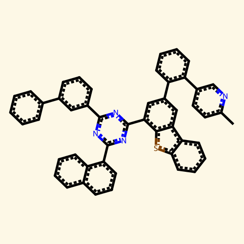 Cc1ccc(-c2ccccc2-c2cc(-c3nc(-c4cccc(-c5ccccc5)c4)nc(-c4cccc5ccccc45)n3)c3sc4ccccc4c3c2)cn1